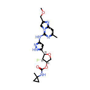 COCc1cn2c(Nc3cc([C@H]4OC[C@@H](OC(=O)NC5(C)CC5)[C@@H]4F)[nH]n3)nc(C)cc2n1